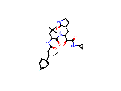 CC[C@@H](CC(=O)N[C@@H](CC(C)(C)C)C(=O)NC(C[C@@H]1CCNC1=O)C(=O)C(=O)NC1CC1)c1ccc(F)cc1